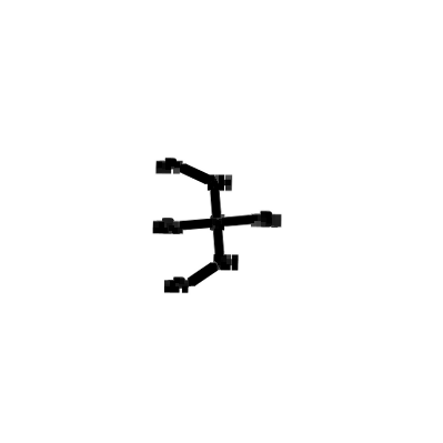 CCCC[Si](CCCC)(NCCC)NCCC